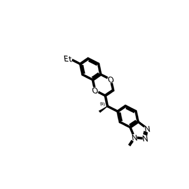 CCc1ccc2c(c1)OC([C@H](C)c1ccc3nnn(C)c3c1)CO2